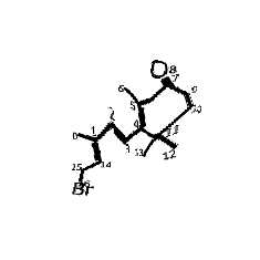 CC(C=CC1=C(C)C(=O)CCC1(C)C)=CCBr